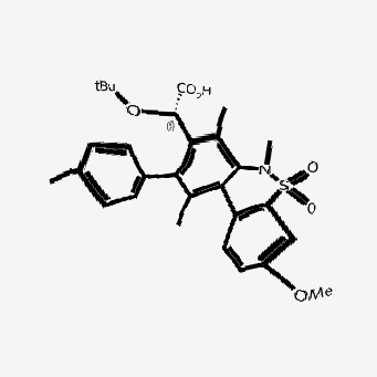 COc1ccc2c(c1)S(=O)(=O)N(C)c1c(C)c([C@H](OC(C)(C)C)C(=O)O)c(-c3ccc(C)cc3)c(C)c1-2